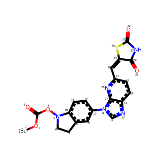 CC(C)(C)OC(=O)ON1CCc2cc(-n3cnc4ccc(C=C5SC(=O)NC5=O)nc43)ccc21